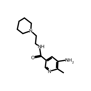 Cc1ncc(C(=O)NCCN2CCCCC2)cc1N